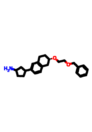 NC1CCC(c2ccc3c(c2)CC[C@H](OCCOCc2ccccc2)C3)C1